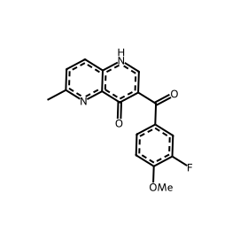 COc1ccc(C(=O)c2c[nH]c3ccc(C)nc3c2=O)cc1F